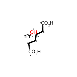 CCCO.O=C(O)CCCCC(=O)O